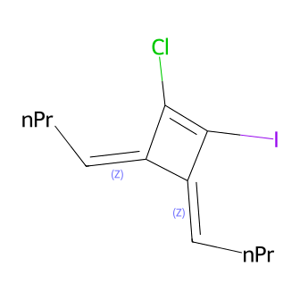 CCC/C=C1C(Cl)=C(I)C\1=C/CCC